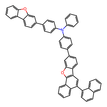 c1ccc(N(c2ccc(-c3ccc4c(c3)oc3ccccc34)cc2)c2ccc(-c3ccc4c(c3)oc3c5ccccc5c(-c5cccc6ccccc56)cc43)cc2)cc1